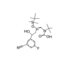 CC(C)(C)N(C[C@@H](CC(O)c1cc(F)cc(C#N)c1)O[Si](C)(C)C(C)(C)C)C(=O)O